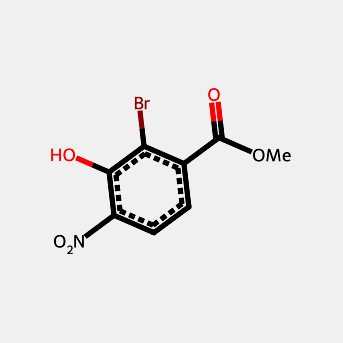 COC(=O)c1ccc([N+](=O)[O-])c(O)c1Br